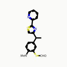 CNc1ccc(C(C)c2csc(-c3ccccn3)n2)cc1SC=O